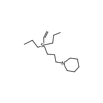 C=C[Si](CCC)(CCC)CCCN1CCCCC1